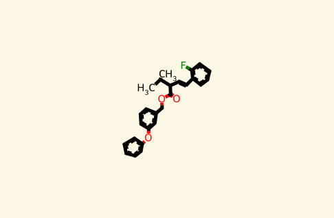 CC(C)C(/C=C/c1ccccc1F)C(=O)OCc1cccc(Oc2ccccc2)c1